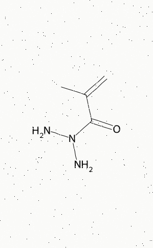 C=C(C)C(=O)N(N)N